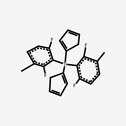 Cc1ccc(F)[c]([Ti]([C]2=CC=CC2)([C]2=CC=CC2)[c]2c(F)ccc(C)c2F)c1F